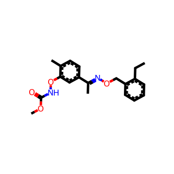 CCc1ccccc1CO/N=C(\C)c1ccc(C)c(ONC(=O)OC)c1